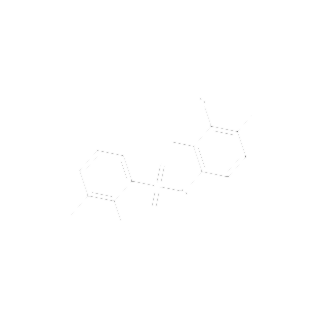 Cc1cccc(S(=O)(=O)Nc2ccc(F)c(N)c2F)c1Cl